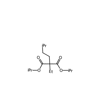 CCC(CCC(C)C)(C(=O)OC(C)C)C(=O)OC(C)C